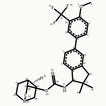 COc1ccc(-c2ccc3c(c2)CC(C)(C)C3NC(=O)O[C@H]2CN3CCC2CC3)cc1C(F)(F)F